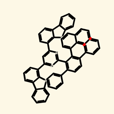 c1ccc(-c2ccc(-c3ccccc3)c(-c3cccc4ccccc34)c2-c2nc(-c3cccc4c3oc3ccccc34)cc(-c3cccc4c3oc3ccccc34)n2)cc1